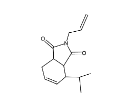 C=CCN1C(=O)C2CC=CC(C(C)C)C2C1=O